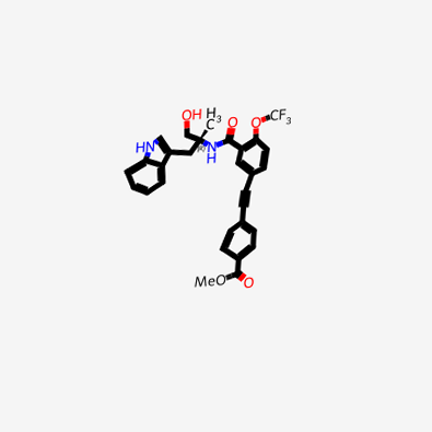 COC(=O)c1ccc(C#Cc2ccc(OC(F)(F)F)c(C(=O)N[C@@](C)(CO)Cc3c[nH]c4ccccc34)c2)cc1